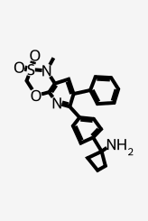 CN1c2cc(-c3ccccc3)c(-c3ccc(C4(N)CCC4)cc3)nc2OCS1(=O)=O